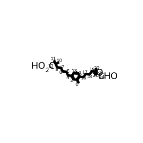 Cc1cc(CCCCCC(C)(C)C(=O)O)ccc1CCCCC(C)(C)OC=O